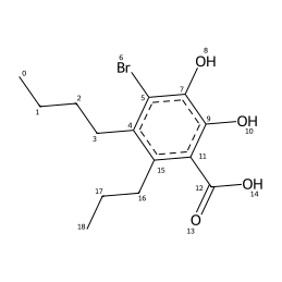 CCCCc1c(Br)c(O)c(O)c(C(=O)O)c1CCC